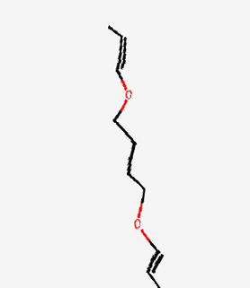 CC=COCCCCOC=CC